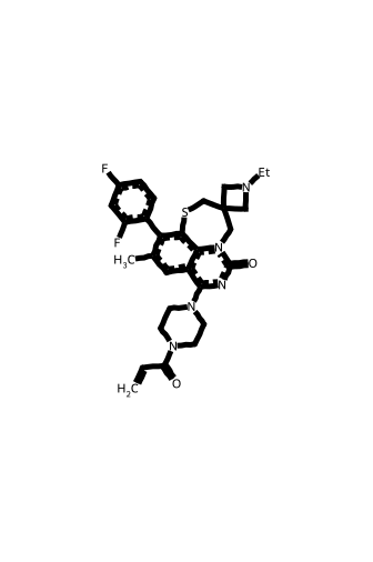 C=CC(=O)N1CCN(c2nc(=O)n3c4c(c(-c5ccc(F)cc5F)c(C)cc24)SCC2(CN(CC)C2)C3)CC1